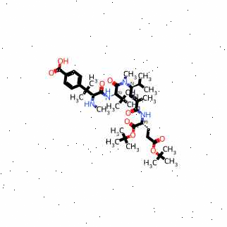 CNC(C(=O)N[C@H](C(=O)N(C)[C@H](/C=C(\C)C(=O)N[C@H](CCC(=O)OC(C)(C)C)C(=O)OC(C)(C)C)C(C)C)C(C)(C)C)C(C)(C)c1ccc(C(=O)O)cc1